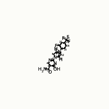 NC(=O)c1cnc(N2C[C@@H]3C[C@H]2CN3c2ccc(C(F)(F)F)cc2F)nc1O